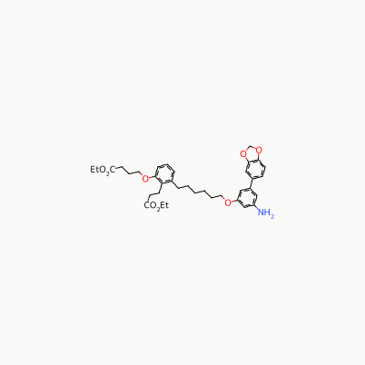 CCOC(=O)CCCOc1cccc(CCCCCCOc2cc(N)cc(-c3ccc4c(c3)OCO4)c2)c1CCC(=O)OCC